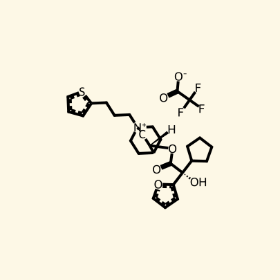 O=C(O[C@H]1C[N+]2(CCCc3cccs3)CCC1CC2)[C@](O)(c1ccco1)C1CCCC1.O=C([O-])C(F)(F)F